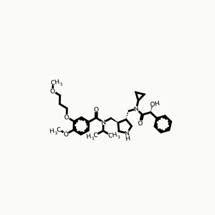 COCCCOc1cc(C(=O)N(C[C@@H]2CNC[C@H]2CN(C(=O)[C@H](O)c2ccccc2)C2CC2)C(C)C)ccc1OC